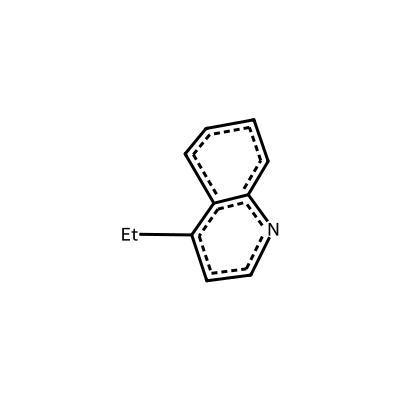 [CH]Cc1ccnc2ccccc12